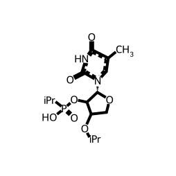 Cc1cn([C@@H]2OCC(OC(C)C)C2OP(=O)(O)C(C)C)c(=O)[nH]c1=O